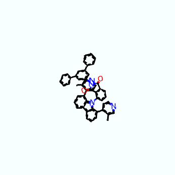 Cc1cnccc1-c1cccc2c3cccc(-c4ccncc4C)c3n(-c3cccc4c3C(=O)N(c3cc(-c5ccccc5)cc(-c5ccccc5)c3)C4=O)c12